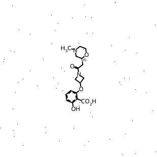 CN1CCO[C@@H](CC(=O)N2CC(Oc3cccc(O)c3C(=O)O)C2)C1